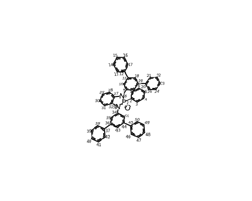 O=P1(c2ccccc2)N(c2cc(-c3ccccc3)cc(-c3ccccc3)c2)c2ccccc2N1c1cc(-c2ccccc2)cc(-c2ccccc2)c1